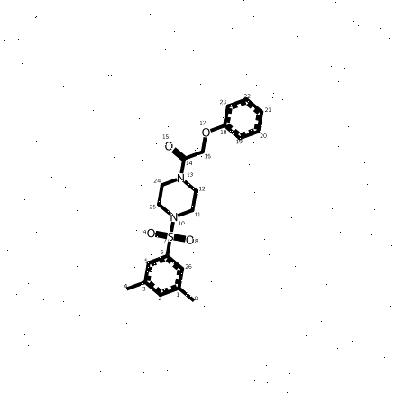 Cc1cc(C)cc(S(=O)(=O)N2CCN(C(=O)COc3ccccc3)CC2)c1